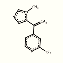 C=C(c1ccnc(C(F)(F)F)c1)c1cncn1C